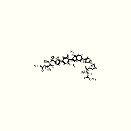 CCN(C(=O)[C@@H](NC(=O)OC)C(C)C)[C@@H](C)c1ncc(-c2cc(C)c(-c3cc4cc(-c5cnc([C@@H]6CCCN6C(=O)[C@@H](NC(=O)OC)C(C)C)[nH]5)ccc4n3C)c(F)c2)[nH]1